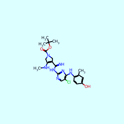 CNC1=C(C(=N)Nc2ncc(Cl)c(Nc3ccc(O)cc3C)n2)CN(C(=O)OC(C)(C)C)C1